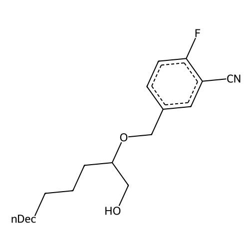 CCCCCCCCCCCCCC(CO)OCc1ccc(F)c(C#N)c1